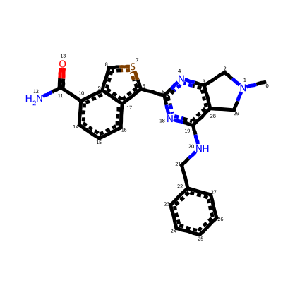 CN1Cc2nc(-c3scc4c(C(N)=O)cccc34)nc(NCc3ccccc3)c2C1